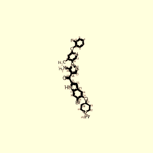 Cc1cc(Oc2ccccc2F)ncc1-n1ncc(C(=O)c2cc3cc(OC4CCN(C(C)C)CC4)c(Br)cc3[nH]2)c1N